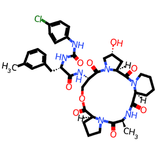 Cc1cccc(C[C@H](NC(=O)Nc2ccc(Cl)cc2)C(=O)N[C@H]2COC(=O)[C@@H]3CCCN3C(=O)[C@H](C)NC(=O)[C@@H]3CCCCN3C(=O)[C@@H]3C[C@@H](O)CN3C2=O)c1